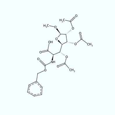 CO[C@@H]1O[C@H]([C@H](OC(C)=O)[C@@H](NC(=O)OCc2ccccc2)C(=O)O)[C@@H](OC(C)=O)[C@H]1OC(C)=O